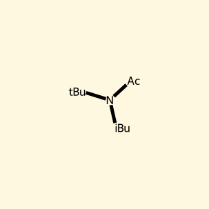 CCC(C)N(C(C)=O)C(C)(C)C